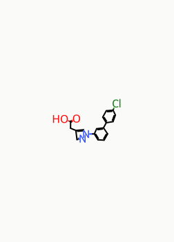 O=C(O)Cc1cnn(-c2cccc(-c3ccc(Cl)cc3)c2)c1